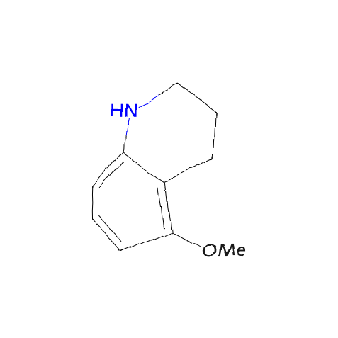 COc1cccc2c1CCCN2